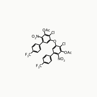 CC(=O)Oc1c(Cl)c(Oc2cc(-c3ccc(C(F)(F)F)cc3)c([N+](=O)[O-])c(OC(C)=O)c2Cl)cc(-c2ccc(C(F)(F)F)cc2)c1[N+](=O)[O-]